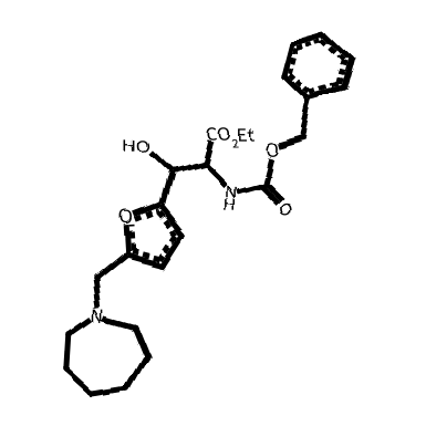 CCOC(=O)C(NC(=O)OCc1ccccc1)C(O)c1ccc(CN2CCCCCC2)o1